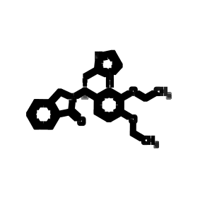 CCOc1ccc([C@@H](Cc2ncc[nH]2)N2Cc3ccccc3C2=O)cc1OCC